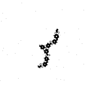 C=CC(=O)Oc1ccc(Cc2ccc(OC(=O)c3ccc(N(c4ccc(C)cc4)c4ccc(C(=O)Oc5ccc(Cc6ccc(OC(=O)C=C)cc6)cc5)cc4)cc3)cc2)cc1